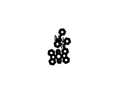 c1ccc(-c2nc3cccc4c3n2-c2ccccc2N4c2ccc3c(c2)C2(c4ccccc4-3)c3ccccc3C3(c4ccccc4-c4ccccc43)c3ccccc32)cc1